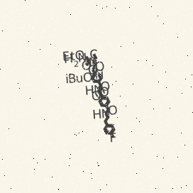 CCOC(=O)CN(C(=O)CN)C(=O)Oc1ncc(C(=O)NS(=O)(=O)c2ccc(C(=O)NCCc3ccc(F)cc3)cc2)cc1OCC(C)C